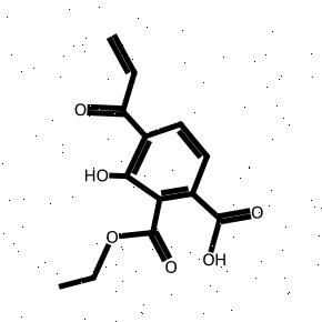 C=CC(=O)c1ccc(C(=O)O)c(C(=O)OCC)c1O